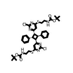 CC(C)(C)OC(=O)NCCSc1cc([C@H]2[C@H](c3ccccc3)[C@H](c3cc(SCCNC(=O)OC(C)(C)C)nc(Cl)n3)[C@H]2c2ccccc2)nc(Cl)n1